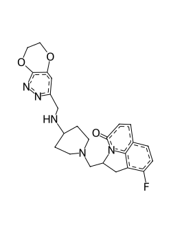 O=c1ccc2ccc(F)c3c2n1C(CN1CCC(NCc2cc4c(nn2)OCCO4)CC1)C3